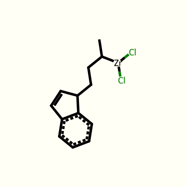 C[CH](CCC1C=Cc2ccccc21)[Zr]([Cl])[Cl]